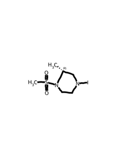 C[C@@H]1CN(I)CCN1S(C)(=O)=O